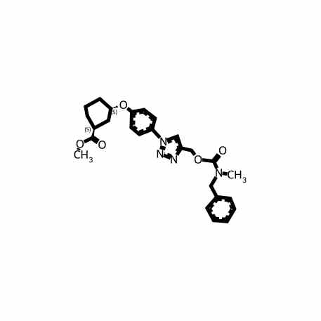 COC(=O)[C@H]1CCC[C@H](Oc2ccc(-n3cc(COC(=O)N(C)Cc4ccccc4)nn3)cc2)C1